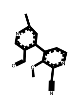 COc1c(-c2cc(C)ncc2C=O)ccnc1C#N